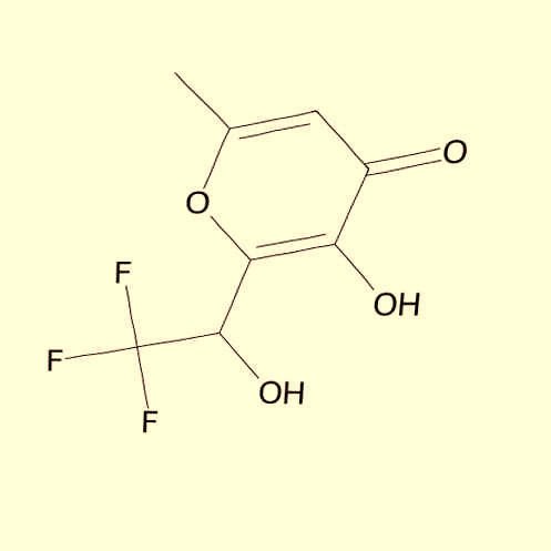 Cc1cc(=O)c(O)c(C(O)C(F)(F)F)o1